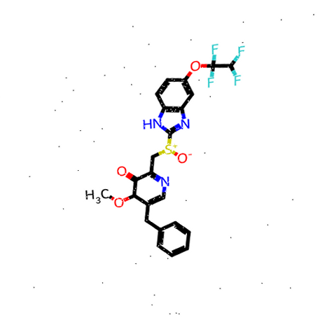 COC1C(=O)C(C[S+]([O-])c2nc3cc(OC(F)(F)C(F)F)ccc3[nH]2)=NC=C1Cc1ccccc1